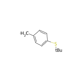 [CH2]c1ccc(SC(C)(C)C)cc1